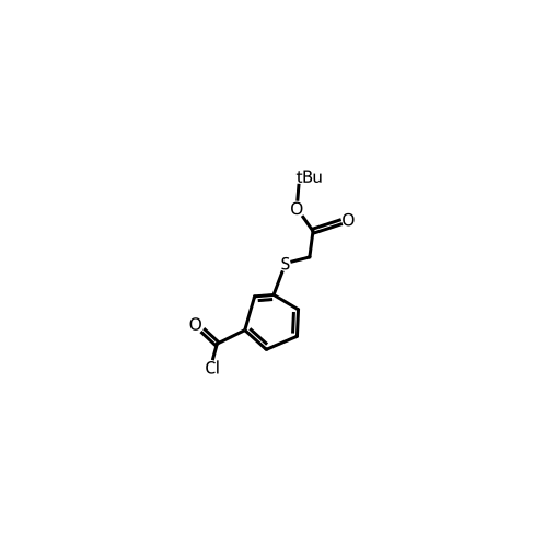 CC(C)(C)OC(=O)CSc1cccc(C(=O)Cl)c1